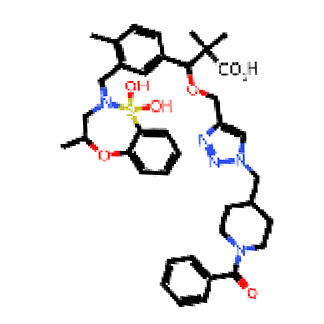 Cc1ccc(C(OCc2cn(CC3CCN(C(=O)c4ccccc4)CC3)nn2)C(C)(C)C(=O)O)cc1CN1CC(C)Oc2ccccc2S1(O)O